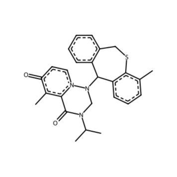 Cc1cccc2c1SCc1ccccc1C2N1CN(C(C)C)C(=O)c2c(C)c(=O)ccn21